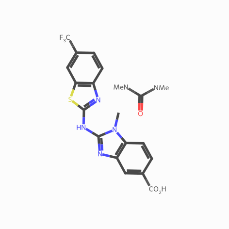 CNC(=O)NC.Cn1c(Nc2nc3ccc(C(F)(F)F)cc3s2)nc2cc(C(=O)O)ccc21